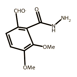 COc1ccc([C]=O)c(C(=O)NN)c1OC